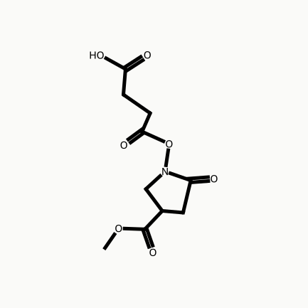 COC(=O)C1CC(=O)N(OC(=O)CCC(=O)O)C1